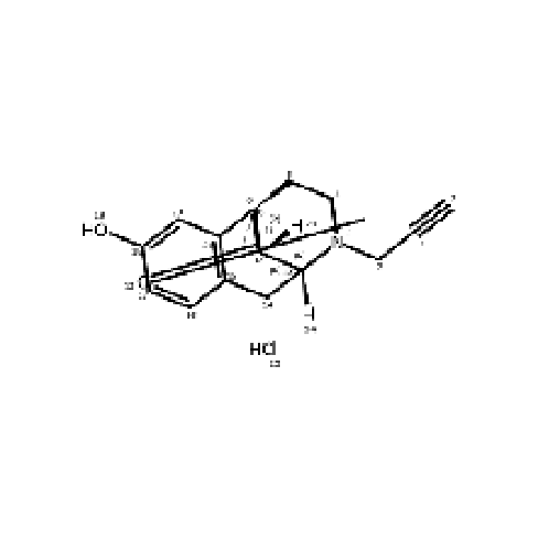 C#CCN1CC[C@]23CCC(=O)C[C@H]2[C@H]1Cc1ccc(O)cc13.Cl